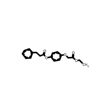 CCOC(=O)COc1ccc(OC(=O)CCc2ccccc2)cc1